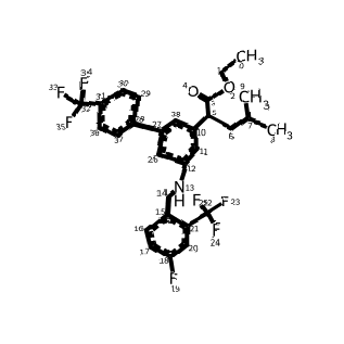 CCOC(=O)C(CC(C)C)c1cc(NCc2ccc(F)cc2C(F)(F)F)cc(-c2ccc(C(F)(F)F)cc2)c1